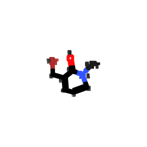 CC(C)n1cccc(CBr)c1=O